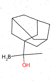 BC(C)(O)C12CC3CC(CC(C3)C1)C2